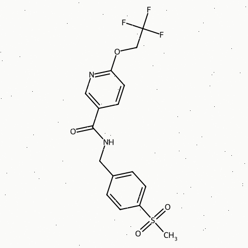 CS(=O)(=O)c1ccc(CNC(=O)c2ccc(OCC(F)(F)F)nc2)cc1